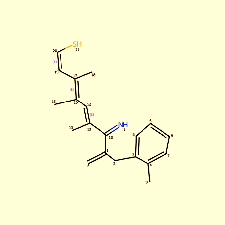 C=C(Cc1ccccc1C)C(=N)/C(C)=C/C(C)=C(C)/C=C\S